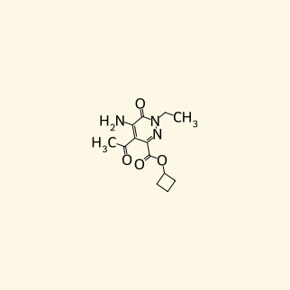 CCn1nc(C(=O)OC2CCC2)c(C(C)=O)c(N)c1=O